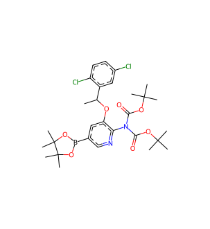 CC(Oc1cc(B2OC(C)(C)C(C)(C)O2)cnc1N(C(=O)OC(C)(C)C)C(=O)OC(C)(C)C)c1cc(Cl)ccc1Cl